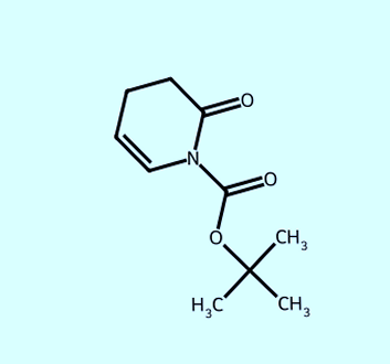 CC(C)(C)OC(=O)N1C=CCCC1=O